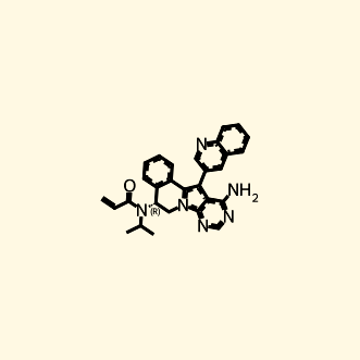 C=CC(=O)N(C(C)C)[C@H]1Cn2c(c(-c3cnc4ccccc4c3)c3c(N)ncnc32)-c2ccccc21